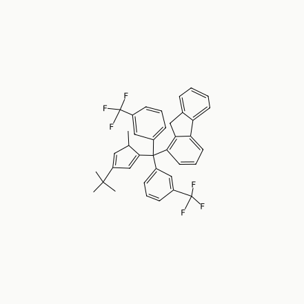 CC1C=C(C(C)(C)C)C=C1C(c1cccc(C(F)(F)F)c1)(c1cccc(C(F)(F)F)c1)c1cccc2c1Cc1ccccc1-2